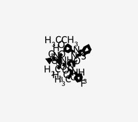 C=C[C@@H]1C[C@]1(NC(=O)[C@@H]1C[C@@H](Oc2nc(-c3ccc(OC(C)C)cc3)nc3c2sc2ccccc23)CN1C(=O)[C@@H](Nc1ccc(F)cc1)C(C)(C)C)C(=O)NS(=O)(=O)C1CC1